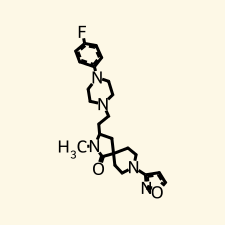 CN1C(=O)C2(CCN(c3ccon3)CC2)CC1CCN1CCN(c2ccc(F)cc2)CC1